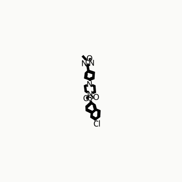 Cc1nc(-c2ccc(N3CCN(S(=O)(=O)c4ccc5cc(Cl)ccc5c4)CC3)cc2)no1